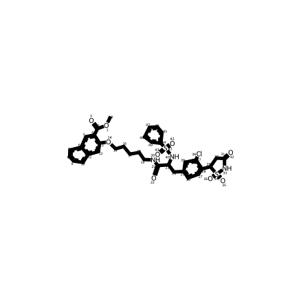 COC(=O)c1cc2ccccc2cc1OCCCCCNC(=O)C(Cc1ccc(C2CC(=O)NS2(=O)=O)c(Cl)c1)NS(=O)(=O)c1ccccc1